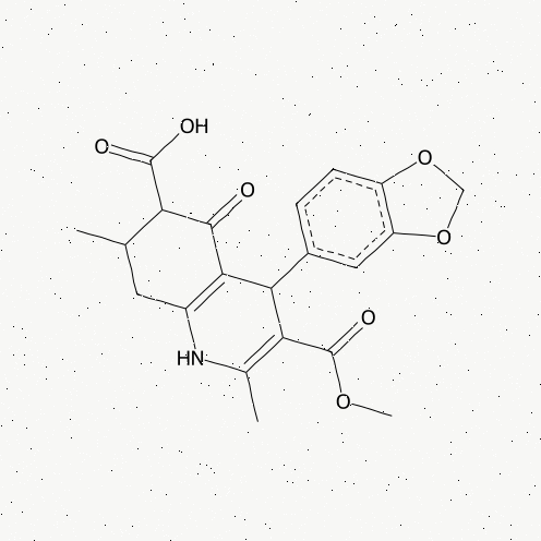 COC(=O)C1=C(C)NC2=C(C(=O)C(C(=O)O)C(C)C2)C1c1ccc2c(c1)OCO2